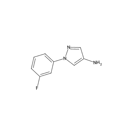 Nc1cnn(-c2cccc(F)c2)c1